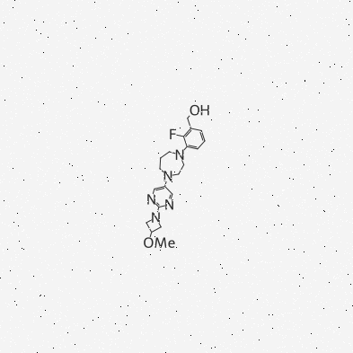 COC1CN(c2ncc(N3CCCN(c4cccc(CO)c4F)CC3)cn2)C1